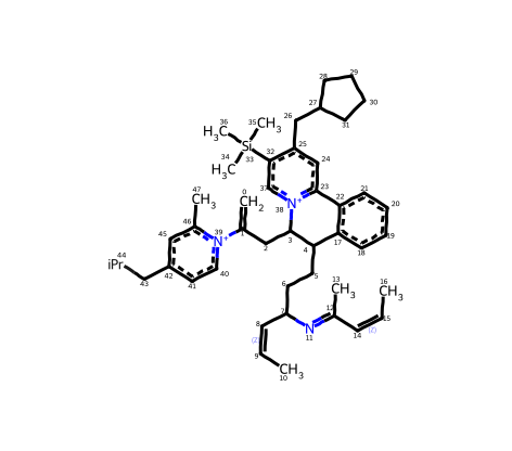 C=C(CC1C(CCC(/C=C\C)N=C(C)/C=C\C)c2ccccc2-c2cc(CC3CCCC3)c([Si](C)(C)C)c[n+]21)[n+]1ccc(CC(C)C)cc1C